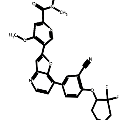 COc1cc(C(=O)N(C)C)ncc1-c1cc2nccc(-c3ccc(OC4CCNCC4(F)F)c(C#N)c3)c2o1